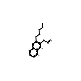 CCCCCc1cc2ccccc2cc1CC=O